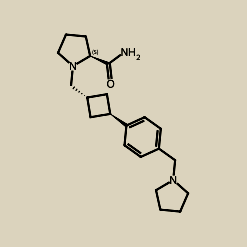 NC(=O)[C@@H]1CCCN1C[C@H]1C[C@H](c2ccc(CN3CCCC3)cc2)C1